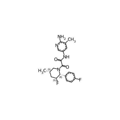 Cc1cc(NC(=O)C(=O)N2C[C@@H](C)C[C@H](F)[C@H]2c2ccc(F)cc2)cnc1N